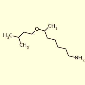 CC(C)CCOC(C)CCCCCN